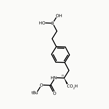 CC(C)(C)OC(=O)N[C@@H](Cc1ccc(CCB(O)O)cc1)C(=O)O